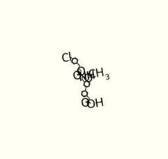 CCOc1ccc(-c2cccc(CC(=O)O)c2)cc1CNC(=O)OCCc1ccc(Cl)cc1